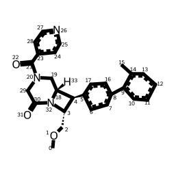 COC[C@H]1[C@H](c2ccc(-c3ccccc3C)cc2)[C@H]2CN(C(=O)c3ccncc3)CC(=O)N21